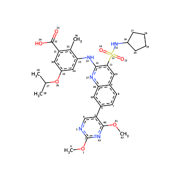 COc1ncc(-c2ccc3cc(S(=O)(=O)NC4CCCC4)c(Nc4cc(OC(C)C)cc(C(=O)O)c4C)nc3c2)c(OC)n1